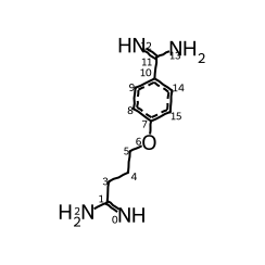 N=C(N)CCCOc1ccc(C(=N)N)cc1